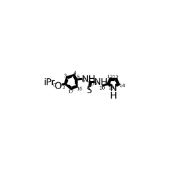 CC(C)Oc1ccc(NC(=S)NCc2ccc[nH]2)cc1